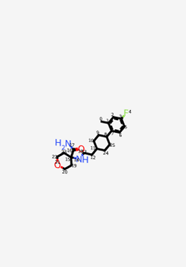 Cc1cc(F)ccc1C1CCC(CCNC2(C(N)=O)CCOCC2)CC1